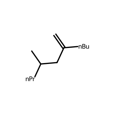 [CH2]CCCC(=C)CC(C)CCC